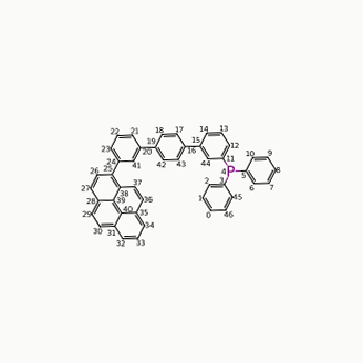 c1ccc(P(c2ccccc2)c2cccc(-c3ccc(-c4cccc(-c5ccc6ccc7cccc8ccc5c6c78)c4)cc3)c2)cc1